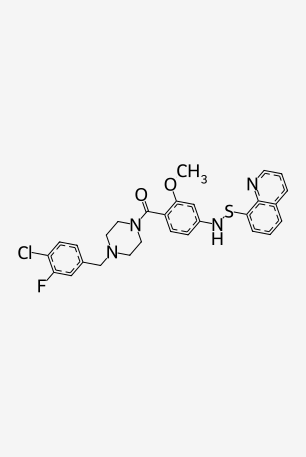 COc1cc(NSc2cccc3cccnc23)ccc1C(=O)N1CCN(Cc2ccc(Cl)c(F)c2)CC1